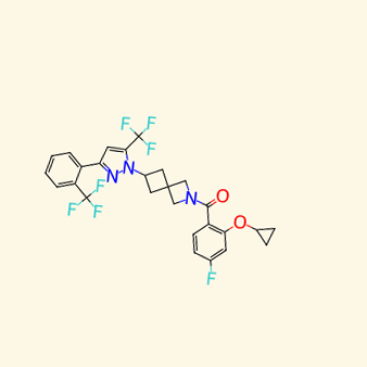 O=C(c1ccc(F)cc1OC1CC1)N1CC2(CC(n3nc(-c4ccccc4C(F)(F)F)cc3C(F)(F)F)C2)C1